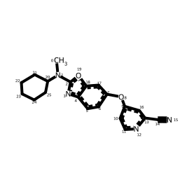 CN(c1nc2ccc(Oc3ccnc(C#N)c3)cc2o1)C1CCCCC1